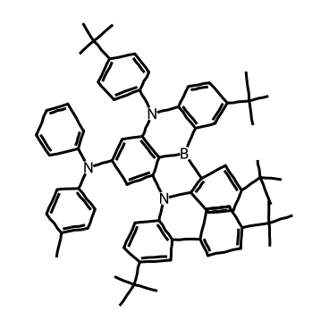 Cc1ccc(N(c2ccccc2)c2cc3c4c(c2)N(c2ccc(C(C)(C)C)cc2-c2ccc(C(C)(C)C)cc2)c2ccc(C(C)(C)C)cc2B4c2cc(C(C)(C)C)ccc2N3c2ccc(C(C)(C)C)cc2)cc1